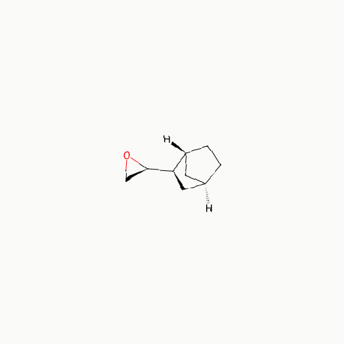 C1C[C@@H]2C[C@@H]1C[C@H]2[C@H]1CO1